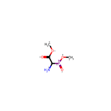 COC(=O)C(N)[PH](=O)OC